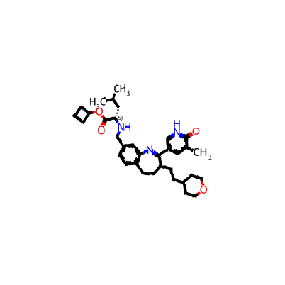 Cc1cc(C2=Nc3cc(CN[C@@H](CC(C)C)C(=O)OC4CCC4)ccc3CCC2CCC2CCOCC2)c[nH]c1=O